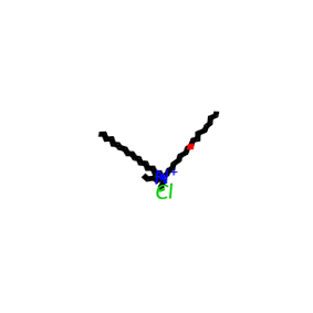 CCCCCCCCCCCCCCCCCC[N+](CCCl)(CCCC)CCCCCCCCCCCCCCCCCC